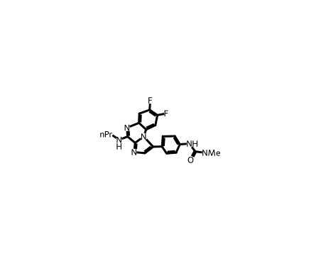 CCCNc1nc2cc(F)c(F)cc2n2c(-c3ccc(NC(=O)NC)cc3)cnc12